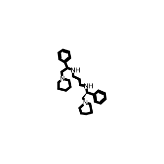 c1ccc(C(CN2CCCCC2)NCCCN[C@H](CN2CCCCC2)c2ccccc2)cc1